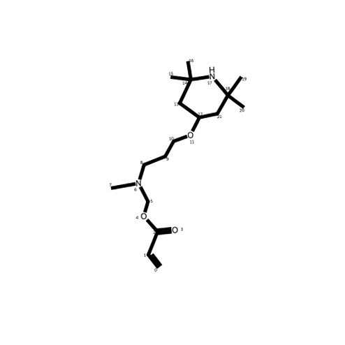 C=CC(=O)OCN(C)CCCOC1CC(C)(C)NC(C)(C)C1